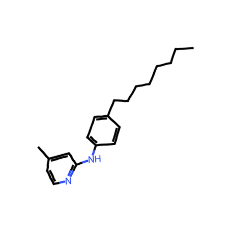 CCCCCCCCc1ccc(Nc2cc(C)ccn2)cc1